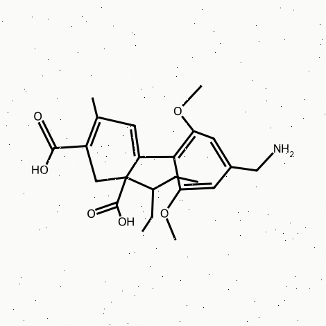 CCC(CC)C1(C(=O)O)CC(C(=O)O)=C(C)C=C1c1c(OC)cc(CN)cc1OC